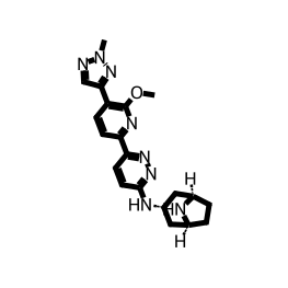 COc1nc(-c2ccc(N[C@@H]3C[C@H]4CC[C@@H](C3)N4)nn2)ccc1-c1cnn(C)n1